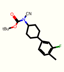 Cc1ccc(C2CCC(N(C#N)C(=O)OC(C)(C)C)CC2)cc1F